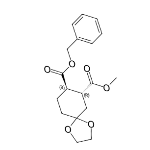 COC(=O)[C@@H]1CC2(CC[C@H]1C(=O)OCc1ccccc1)OCCO2